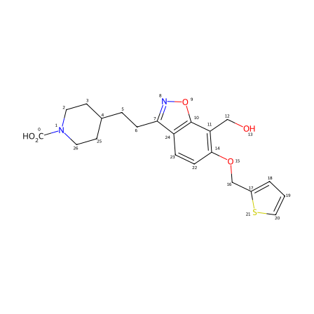 O=C(O)N1CCC(CCc2noc3c(CO)c(OCc4cccs4)ccc23)CC1